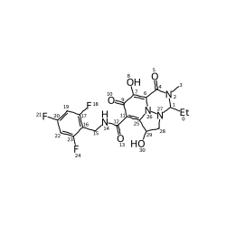 CCC1N(C)C(=O)c2c(O)c(=O)c(C(=O)NCc3c(F)cc(F)cc3F)c3n2N1CC3O